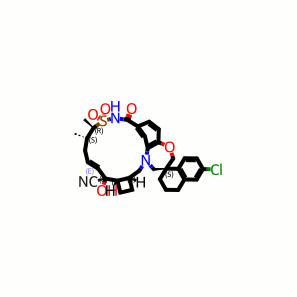 C[C@@H]1[C@@H](C)C/C=C/[C@](O)(C#N)[C@@H]2CC[C@H]2CN2C[C@@]3(CCCc4cc(Cl)ccc43)COc3ccc(cc32)C(=O)NS1(=O)=O